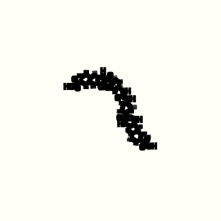 O=C(Nc1ccc(S(=O)(=O)Nc2cc3ccc(S(=O)(=O)O)cc3cc2O)cc1)Nc1ccc(S(=O)(=O)Nc2cc3ccc(S(=O)(=O)O)cc3cc2O)cc1